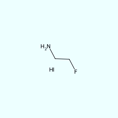 I.NCCF